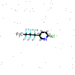 FC(F)(F)C(F)(F)C(F)(F)C(F)(F)c1ccc(Cl)nc1